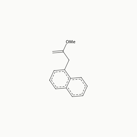 C=C(Cc1cccc2ccccc12)OC